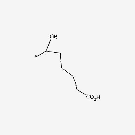 O=C(O)CCCCC(O)F